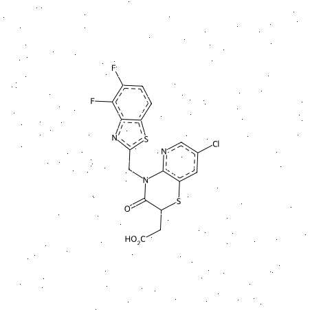 O=C(O)CC1Sc2cc(Cl)cnc2N(Cc2nc3c(F)c(F)ccc3s2)C1=O